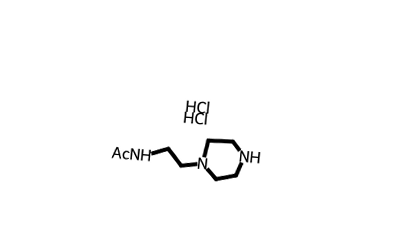 CC(=O)NCCN1CCNCC1.Cl.Cl